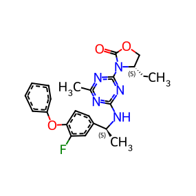 CC[C@H]1COC(=O)N1c1nc(C)nc(N[C@@H](C)c2ccc(Oc3ccccc3)c(F)c2)n1